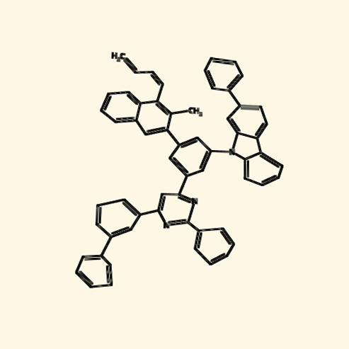 C=C/C=C\c1c(C)c(-c2cc(-c3cc(-c4cccc(-c5ccccc5)c4)nc(-c4ccccc4)n3)cc(-n3c4ccccc4c4ccc(-c5ccccc5)cc43)c2)cc2ccccc12